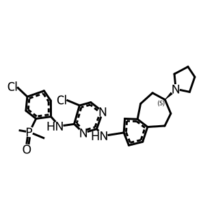 CP(C)(=O)c1cc(Cl)ccc1Nc1nc(Nc2ccc3c(c2)CC[C@@H](N2CCCC2)CC3)ncc1Cl